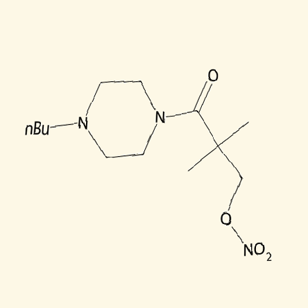 CCCCN1CCN(C(=O)C(C)(C)CO[N+](=O)[O-])CC1